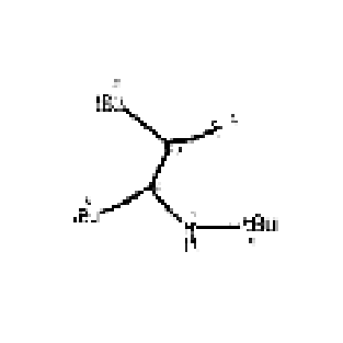 CC(C)(C)NC(C(F)C(C)(C)C)C(C)(C)C